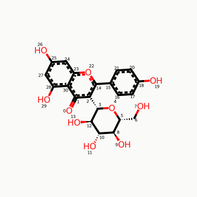 O=c1c([C@@H]2O[C@H](CO)[C@@H](O)[C@H](O)[C@H]2O)c(-c2ccc(O)cc2)oc2cc(O)cc(O)c12